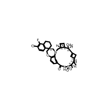 CC(=O)O[C@H]1C2=C[C@H](C2)[C@H](C)[C@@H](C)S(=O)(=O)NC(=O)c2ccc3c(c2)N(C[C@@H]2CC[C@H]21)C[C@@]1(CCCc2c1ccc(Cl)c2F)CO3